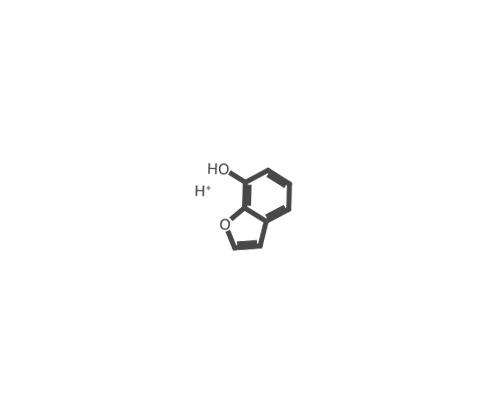 Oc1cccc2ccoc12.[H+]